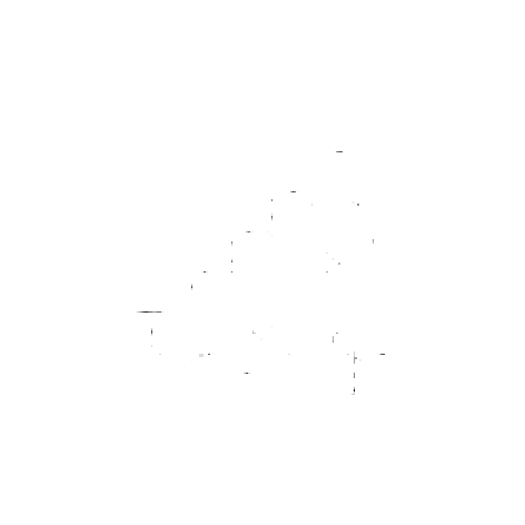 CC1(C)CCN2CCC(C)(C)c3c4c(cc1c32)C=c1cc2c3c(c1O4)C(C)(C)CC[N+]=3CCC2(C)C.O=[N+]([O-])[O-]